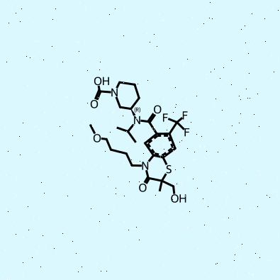 COCCCCN1C(=O)C(C)(CO)Sc2cc(C(F)(F)F)c(C(=O)N(C(C)C)[C@@H]3CCCN(C(=O)O)C3)cc21